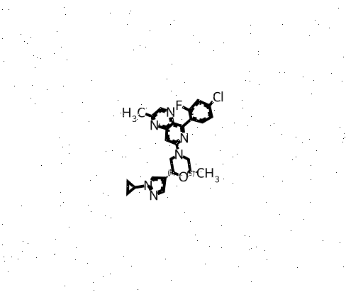 Cc1cnc2c(-c3ccc(Cl)cc3F)nc(N3C[C@@H](c4cnn(C5CC5)c4)O[C@@H](C)C3)cc2n1